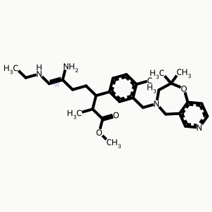 CCN/C=C(\N)CCC(c1ccc(C)c(CN2Cc3cnccc3OC(C)(C)C2)c1)C(C)C(=O)OC